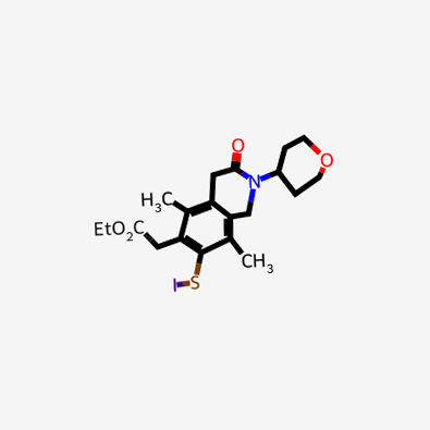 CCOC(=O)Cc1c(C)c2c(c(C)c1SI)CN(C1CCOCC1)C(=O)C2